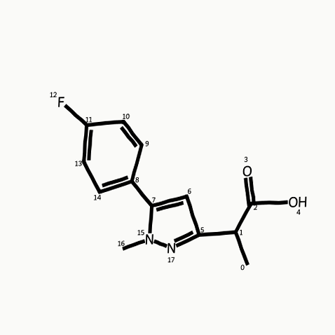 CC(C(=O)O)c1cc(-c2ccc(F)cc2)n(C)n1